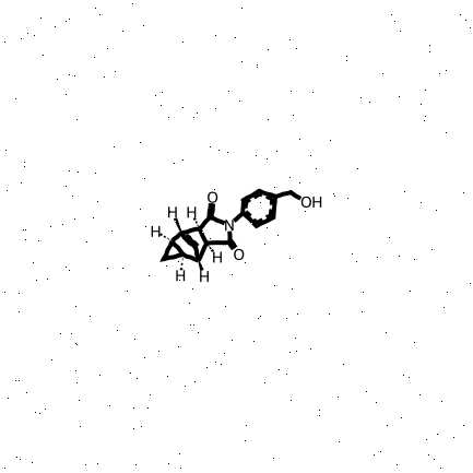 O=C1[C@@H]2[C@@H]3C=C[C@@H]([C@H]4C[C@@H]34)[C@@H]2C(=O)N1c1ccc(CO)cc1